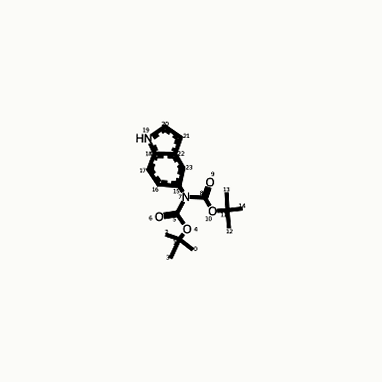 CC(C)(C)OC(=O)N(C(=O)OC(C)(C)C)c1ccc2[nH]ccc2c1